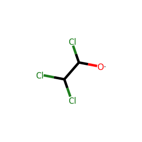 [O]C(Cl)C(Cl)Cl